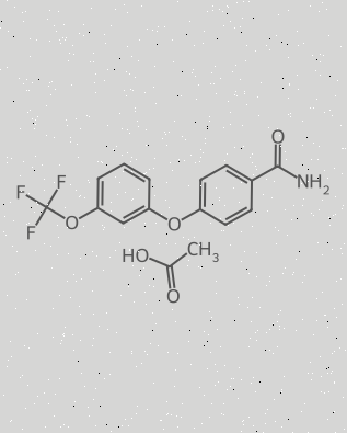 CC(=O)O.NC(=O)c1ccc(Oc2cccc(OC(F)(F)F)c2)cc1